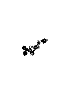 COC(=O)N[C@H](C(=O)Nc1cnccc1CC[C@@H]1CN[C@H](COC(=O)NCc2ccc(F)cc2)CO1)C(c1ccccc1)c1ccccc1